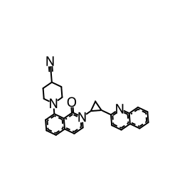 N#CC1CCN(c2cccc3ccn(C4CC4c4ccc5ccccc5n4)c(=O)c23)CC1